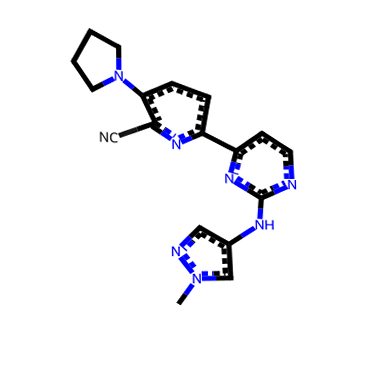 Cn1cc(Nc2nccc(-c3ccc(N4CCCC4)c(C#N)n3)n2)cn1